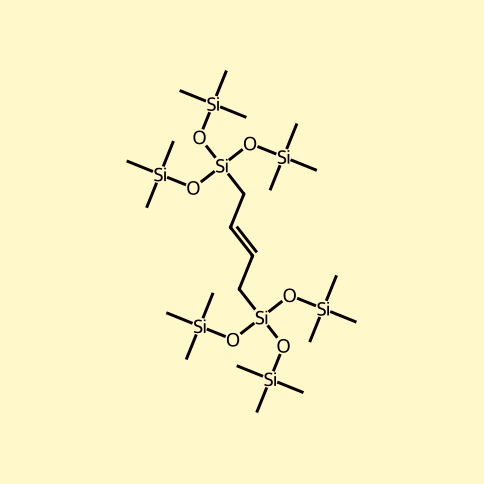 C[Si](C)(C)O[Si](CC=CC[Si](O[Si](C)(C)C)(O[Si](C)(C)C)O[Si](C)(C)C)(O[Si](C)(C)C)O[Si](C)(C)C